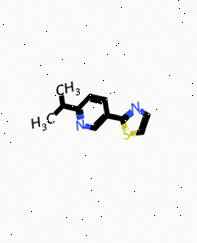 CC(C)c1ccc(-c2nccs2)cn1